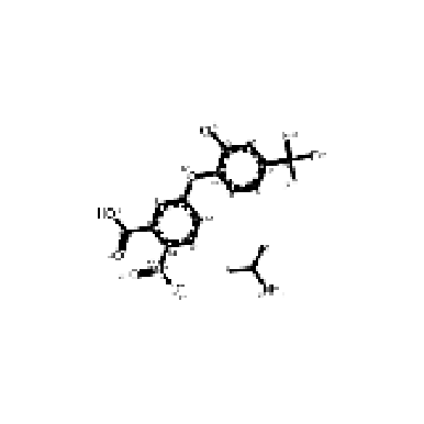 CC(C)N.O=C(O)c1cc(Oc2ccc(C(F)(F)F)cc2Cl)ccc1[N+](=O)[O-]